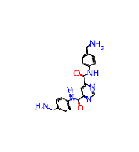 NCc1ccc(NC(=O)c2cc(C(=O)Nc3ccc(CN)cc3)ncn2)cc1